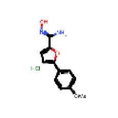 COc1ccc(-c2ccc(C(N)=NO)o2)cc1.Cl